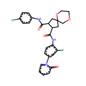 O=C(Nc1ccc(Cl)cc1)C1CC2(COCCO2)CC1C(=O)Nc1ccc(-n2ccccc2=O)cc1F